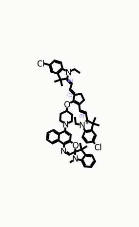 CCN1/C(=C/C=C2\CCC(/C=C/C3=[N+](CC)c4ccc(Cl)cc4C3(C)C)=C2OC2CCN(c3cc4c(c5ccccc35)N=CC3(O4)N(C)c4ccccc4C3(C)C)CC2)C(C)(C)c2cc(Cl)ccc21